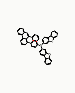 c1ccc(-c2cc3ccccc3c3cccc(-c4ccc(N(c5ccc6c(c5)oc5ccccc56)c5ccc6c(c5)sc5ccccc56)cc4)c23)cc1